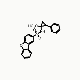 O=C(O)C1(NS(=O)(=O)c2ccc3oc4ccccc4c3c2)CC1c1ccccc1